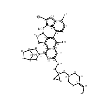 N#Cc1c(N)sc2c(F)ccc(-c3c4c(c5c(N6CC7CCC(C6)N7)nc(OCC6(CN7CCC(=CF)CC7)CC6)nc5c3F)COC4)c12